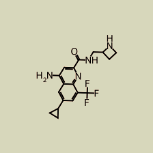 Nc1cc(C(=O)NCC2CCN2)nc2c(C(F)(F)F)cc(C3CC3)cc12